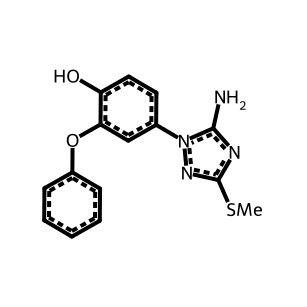 CSc1nc(N)n(-c2ccc(O)c(Oc3ccccc3)c2)n1